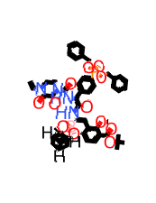 CCN1CCN(C(=O)NC(C(=O)NC(Cc2cccc(C(=O)OC(C)(C)C)c2OC)B2O[C@@H]3C[C@@H]4C[C@@H](C4(C)C)[C@]3(C)O2)c2ccc(P(=O)(OCc3ccccc3)OCc3ccccc3)cc2)C(=O)C1=O